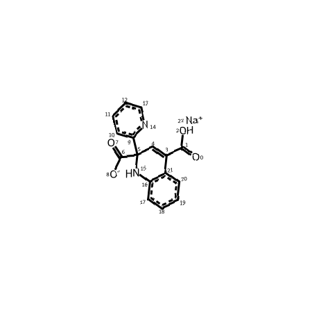 O=C(O)C1=CC(C(=O)[O-])(c2ccccn2)Nc2ccccc21.[Na+]